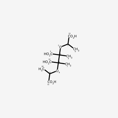 CC(OC(C)(C(=O)O)C(C)(OC(C)C(=O)O)C(=O)O)C(=O)O